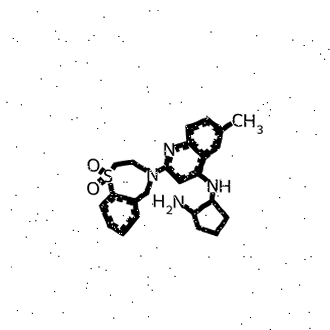 Cc1ccc2nc(N3CCS(=O)(=O)c4ccccc4C3)cc(NC3CCCC3N)c2c1